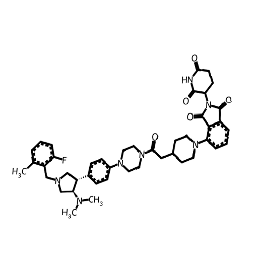 Cc1cccc(F)c1CN1C[C@H](c2ccc(N3CCN(C(=O)CC4CCN(c5cccc6c5C(=O)N(C5CCC(=O)NC5=O)C6=O)CC4)CC3)cc2)[C@@H](N(C)C)C1